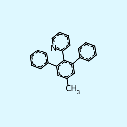 Cc1cc(-c2ccccc2)c(-c2ccccn2)c(-c2ccccc2)c1